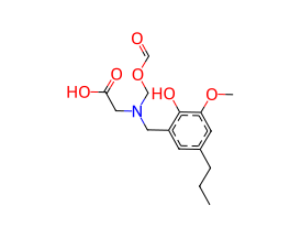 CCCc1cc(CN(COC=O)CC(=O)O)c(O)c(OC)c1